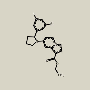 CCOC(=O)c1cnn2ccc(N3CCCC3c3cc(F)cc(F)c3)cc12